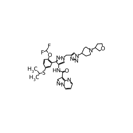 CC(C)Sc1ccc(OC(F)F)c(-c2nn(Cc3cn(C4CCN(C5CCOC5)CC4)nn3)cc2NC(=O)c2cnn3cccnc23)c1